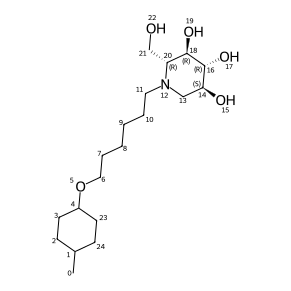 CC1CCC(OCCCCCCN2C[C@H](O)[C@@H](O)[C@H](O)[C@H]2CO)CC1